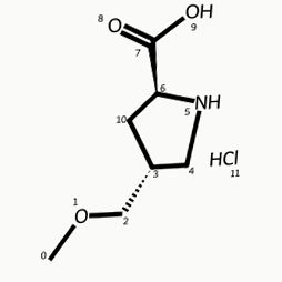 COC[C@H]1CN[C@H](C(=O)O)C1.Cl